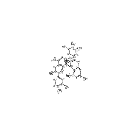 Oc1cc(O)c2c(c1)OC1(c3cc(O)c(O)c(O)c3)Oc3cc(O)c4c(c3C2C1O)OC(c1ccc(O)c(O)c1)C(O)C4